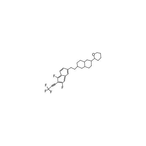 Fc1cc2cc(CCC3CCC4CC(C5CCCCO5)CCC4C3)ccc2c(F)c1C#CC(F)(F)F